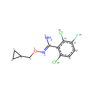 NC(=NOCC1CC1)c1c(Cl)ccc(F)c1Cl